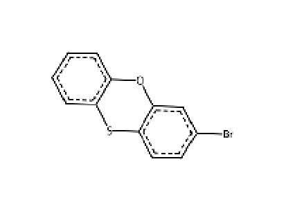 Brc1ccc2c(c1)Oc1ccccc1S2